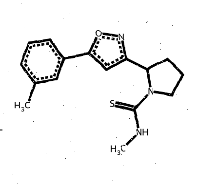 CNC(=S)N1CCCC1c1cc(-c2cccc(C)c2)on1